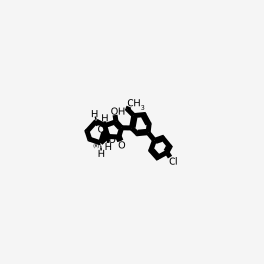 CCc1ccc(-c2ccc(Cl)cc2)cc1C1=C(O)[C@H]2[C@@H]3CC[C@@H](C(=O)C3)[C@H]2C1=O